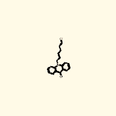 O=c1c2ccccc2n(CCCCCCCl)c2ccccc12